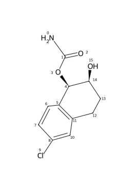 NC(=O)O[C@@H]1c2ccc(Cl)cc2CC[C@@H]1O